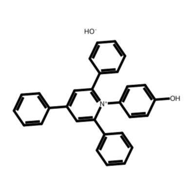 Oc1ccc(-[n+]2c(-c3ccccc3)cc(-c3ccccc3)cc2-c2ccccc2)cc1.[OH-]